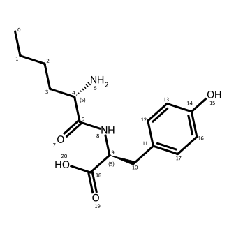 CCCC[C@H](N)C(=O)N[C@@H](Cc1ccc(O)cc1)C(=O)O